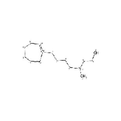 CN(CCO)CCCCC1=CCCCCC1